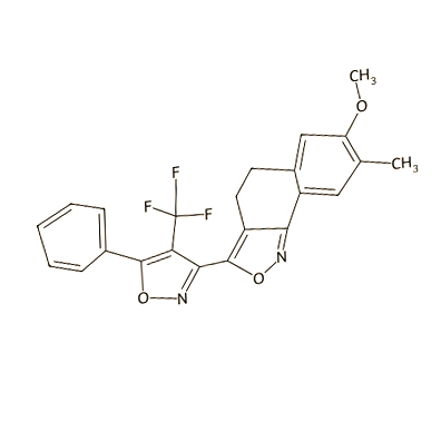 COc1cc2c(cc1C)-c1noc(-c3noc(-c4ccccc4)c3C(F)(F)F)c1CC2